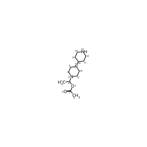 CC(=O)OC(C)N1CCN(C2CCNCC2)CC1